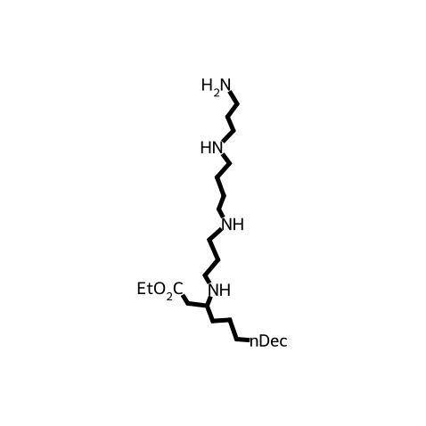 CCCCCCCCCCCCCC(CC(=O)OCC)NCCCNCCCCNCCCN